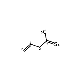 C=CCC(=S)Cl